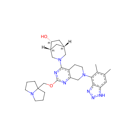 Cc1cc2[nH]nnc2c(N2CCc3c(nc(OCC45CCCN4CCC5)nc3N3C[C@@H]4C[C@H](C3)[C@H](O)C4)C2)c1C